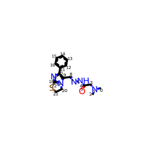 CN(C)CC(=O)NN=Cc1c(-c2ccccc2)nc2n1CCS2